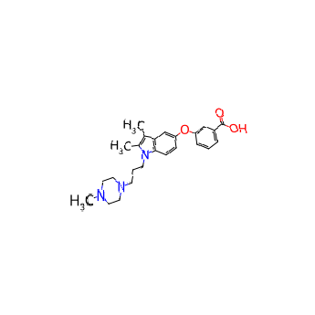 Cc1c(C)n(CCCN2CCN(C)CC2)c2ccc(Oc3cccc(C(=O)O)c3)cc12